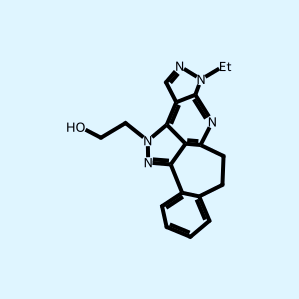 CCn1ncc2c1nc1c3c(nn(CCO)c32)-c2ccccc2CC1